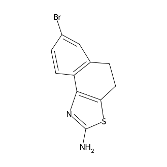 Nc1nc2c(s1)CCc1cc(Br)ccc1-2